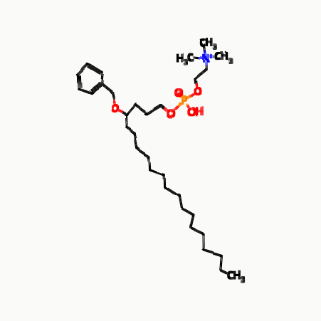 CCCCCCCCCCCCCCCCC(CCCOP(=O)(O)OCC[N+](C)(C)C)OCc1ccccc1